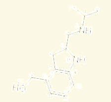 CC(C)NCC1Cc2c(CO)cccc2N1